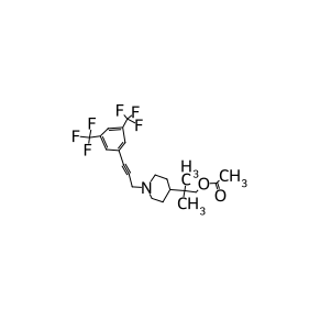 CC(=O)OCC(C)(C)C1CCN(CC#Cc2cc(C(F)(F)F)cc(C(F)(F)F)c2)CC1